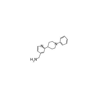 NCc1ccnc(C2CCN(c3ccccc3)CC2)c1